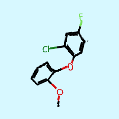 COc1ccccc1Oc1c[c]c(F)cc1Cl